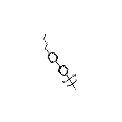 COOSc1ccc(-c2ccc(C(O)(O)C(F)(F)F)cc2)cc1